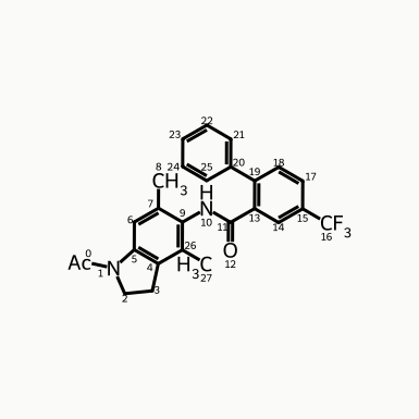 CC(=O)N1CCc2c1cc(C)c(NC(=O)c1cc(C(F)(F)F)ccc1-c1ccccc1)c2C